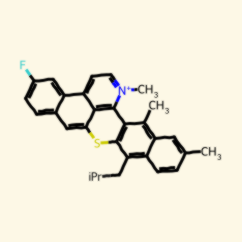 Cc1ccc2c(CC(C)C)c3c(c(C)c2c1)-c1c2c(cc4ccc(F)cc4c2cc[n+]1C)S3